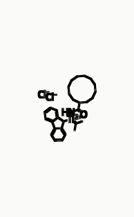 C[C](C)=[Ti+2]([NH]C(=O)C1CCCCCCCCCCC1)[CH]1c2ccccc2-c2ccccc21.[Cl-].[Cl-]